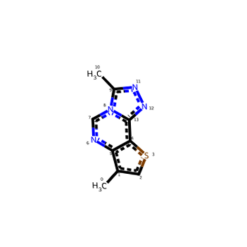 Cc1csc2c1ncn1c(C)nnc21